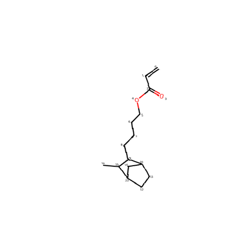 C=CC(=O)OCCCCC1C2CCC(C2)C1C